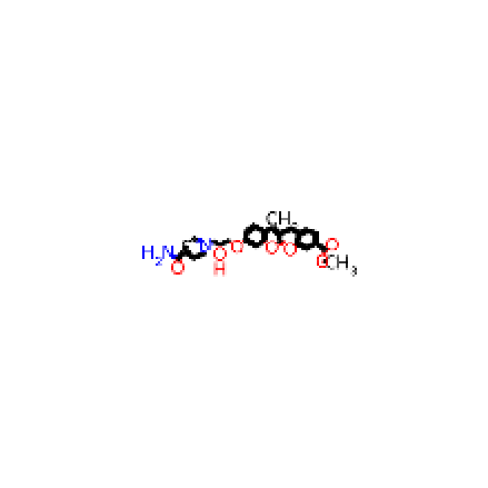 COC(=O)c1ccc(Cc2c(C)c3ccc(OCC(O)CN4CCC(C(N)=O)CC4)cc3oc2=O)cc1